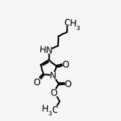 CCCCNC1=CC(=O)N(C(=O)OCC)C1=O